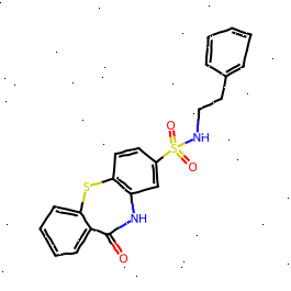 O=C1Nc2cc(S(=O)(=O)NCCc3ccccc3)ccc2Sc2ccccc21